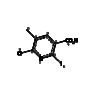 Cc1cc(C(=O)O)c(I)nc1Cl